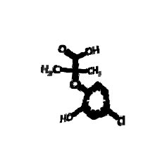 CC(C)(Oc1ccc(Cl)cc1O)C(=O)O